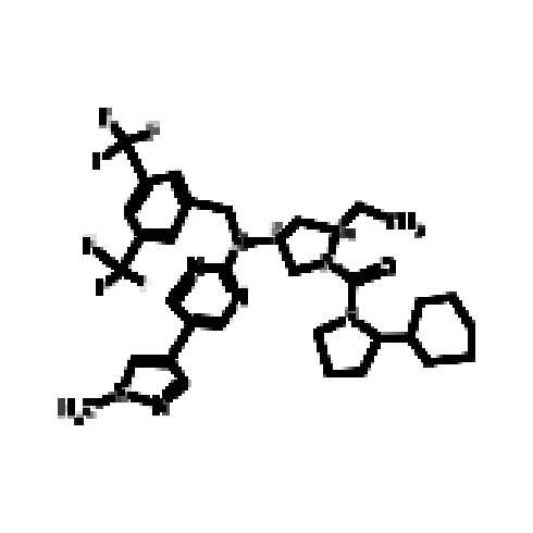 CC[C@@H]1C[C@H](N(Cc2cc(C(F)(F)F)cc(C(F)(F)F)c2)c2ncc(-c3cnn(C)c3)cn2)CN1C(=O)N1CCCC1C1CCCCC1